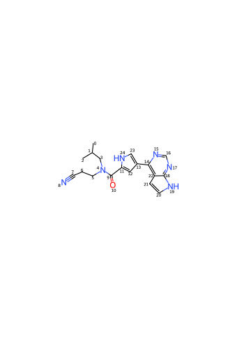 CC(C)CN(CCC#N)C(=O)c1cc(-c2ncnc3[nH]ccc23)c[nH]1